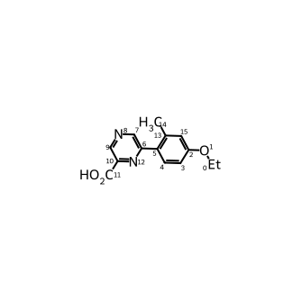 CCOc1ccc(-c2cncc(C(=O)O)n2)c(C)c1